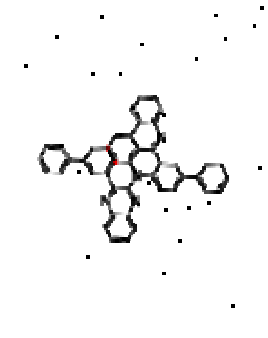 c1ccc(-c2cccc(-c3nc4ccccc4nc3N3c4ccc(-c5ccccc5)cc4-c4nc5ccccc5c5cccc3c45)c2)cc1